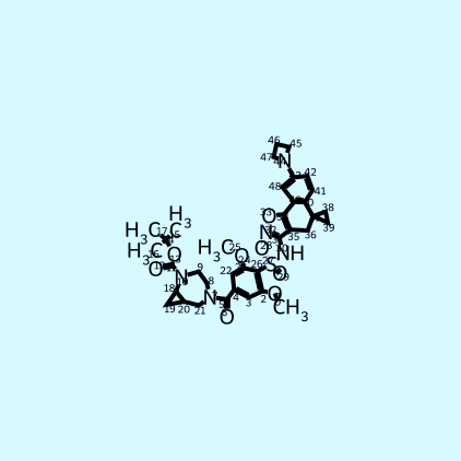 COc1cc(C(=O)N2CCN(C(=O)OC(C)(C)C)C3CC3C2)cc(OC)c1S(=O)(=O)Nc1noc2c1CC1(CC1)c1ccc(N3CCC3)cc1-2